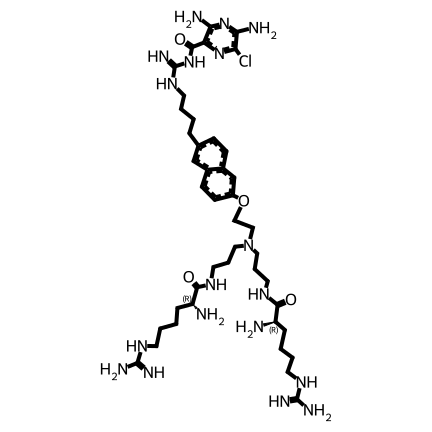 N=C(N)NCCCC[C@@H](N)C(=O)NCCCN(CCCNC(=O)[C@H](N)CCCCNC(=N)N)CCOc1ccc2cc(CCCCNC(=N)NC(=O)c3nc(Cl)c(N)nc3N)ccc2c1